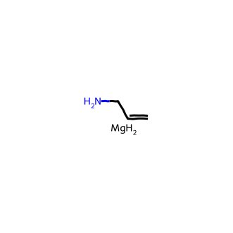 C=CCN.[MgH2]